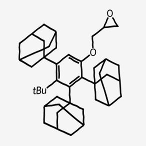 CC(C)(C)c1c(C23CC4CC(CC(C4)C2)C3)cc(OCC2CO2)c(C23CC4CC(CC(C4)C2)C3)c1C12CC3CC(CC(C3)C1)C2